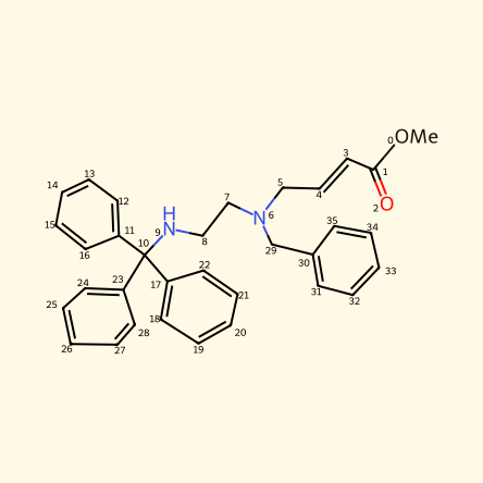 COC(=O)C=CCN(CCNC(c1ccccc1)(c1ccccc1)c1ccccc1)Cc1ccccc1